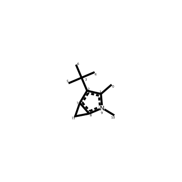 Cc1c(C(C)(C)C)c2c(n1C)C2